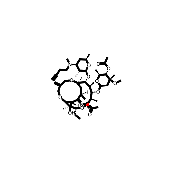 C#CCCN(C)[C@H]1C[C@@H](C)OC(O[C@@H]2[C@@H](C)[C@H](OC3C[C@@](C)(OC)[C@@H](OC(C)=O)[C@H](C)O3)[C@@H](C)C(=O)O[C@H](CC)[C@@](C)(O)C3OCC(=C)CO[C@]2(C)C[C@@H](C)/C(=N\OC(C)=O)[C@@H]3C)[C@@H]1C